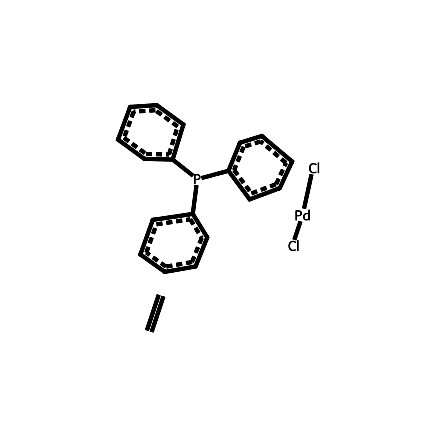 C=C.[Cl][Pd][Cl].c1ccc(P(c2ccccc2)c2ccccc2)cc1